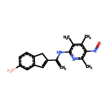 Bc1ccc2c(c1)C=C(C(=C)Nc1nc(C)c(N=O)c(C)c1C)C2